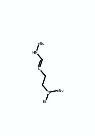 CCCCN/C=N/CCN(CC)CCCC